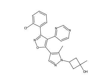 Cc1c(-c2onc(-c3ccccc3Cl)c2-c2ccncn2)cnn1C1CC(C)(O)C1